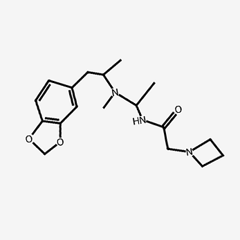 CC(Cc1ccc2c(c1)OCO2)N(C)C(C)NC(=O)CN1CCC1